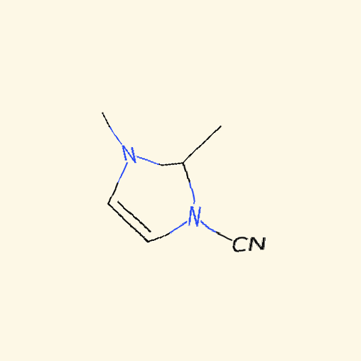 CC1N(C)C=CN1C#N